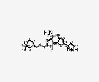 Cn1c(CCCN2CCOC(C)(C)C2)nc2c(N)nc3cc(-c4cc[nH]n4)sc3c21